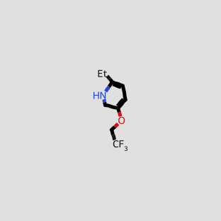 CCC1=CC=C(OCC(F)(F)F)CN1